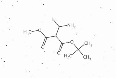 COC(=O)C(C(=O)OC(C)(C)C)C(N)I